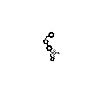 O=S(=O)(O)N(CC1CCC1)c1ccc(C2CCN(Cc3ccccc3)C2)cc1